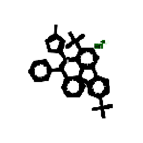 CC1=CC[C]([Hf](=[C](c2ccccc2)c2ccccc2)[c]2c(C(C)(C)C)ccc3c2Cc2cc(C(C)(C)C)ccc2-3)=C1.Cl.Cl